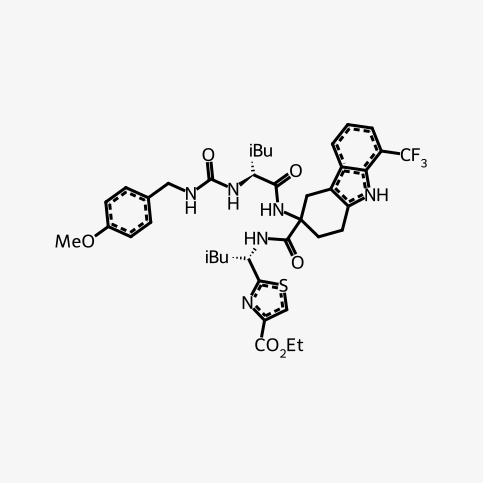 CCOC(=O)c1csc([C@@H](NC(=O)C2(NC(=O)[C@@H](NC(=O)NCc3ccc(OC)cc3)[C@@H](C)CC)CCc3[nH]c4c(C(F)(F)F)cccc4c3C2)[C@@H](C)CC)n1